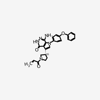 C=CC(=O)N1CC[C@@H](c2cn(-c3ccc(Oc4ccccc4)cc3)c3c(N)n[nH]c(=O)c23)C1